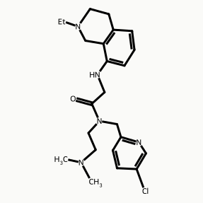 CCN1CCc2cccc(NCC(=O)N(CCN(C)C)Cc3ccc(Cl)cn3)c2C1